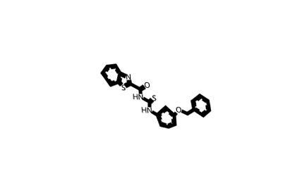 O=C(NC(=S)Nc1cccc(OCc2ccccc2)c1)c1nc2ccccc2s1